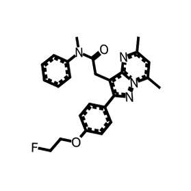 Cc1cc(C)n2nc(-c3ccc(OCCF)cc3)c(CC(=O)N(C)c3ccccc3)c2n1